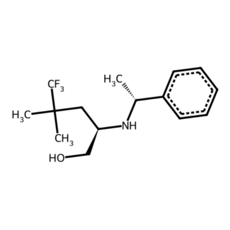 C[C@@H](N[C@@H](CO)CC(C)(C)C(F)(F)F)c1ccccc1